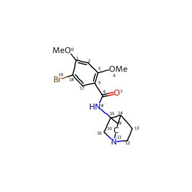 COc1cc(OC)c(C(=O)NC2CN3CCC2CC3)cc1Br